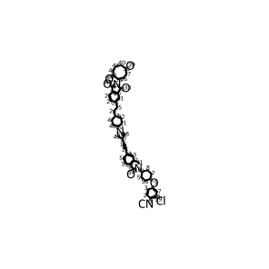 N#Cc1ccc(O[C@H]2CC[C@H](N3Cc4cc(C#CC5CN(C6CCC(CCc7ccc8c(c7)C(=O)N(C7CCC(=O)CCCC7=O)C8=O)CC6)C5)ccc4C3=O)CC2)cc1Cl